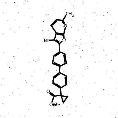 COC(=O)C1(c2ccc(-c3ccc(-c4oc5nc(C)ccc5c4Br)cc3)cc2)CC1